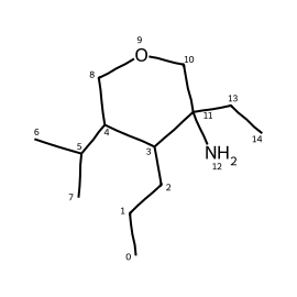 CCCC1C(C(C)C)COCC1(N)CC